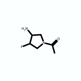 CC(=O)N1CC(N)C(F)C1